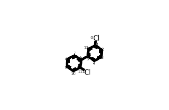 Clc1cccc(-c2[c]cccc2Cl)c1